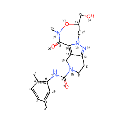 Cc1ccc(C)c(NC(=O)N2CCc3nn4c(c3C2)C(=O)N(C)OC(CO)C4)c1